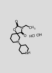 CCN1C(=O)OC2(CCCN(C3CCNCC3)C2)C1=O.Cl.Cl